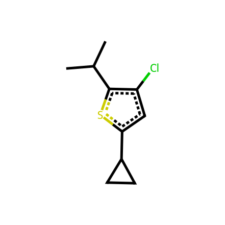 CC(C)c1sc(C2CC2)cc1Cl